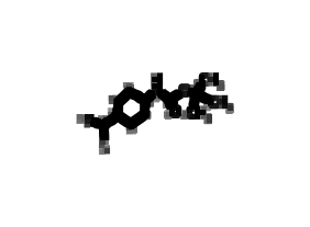 CC(C)(C)OC(=O)NC1CCC(C(F)F)CC1